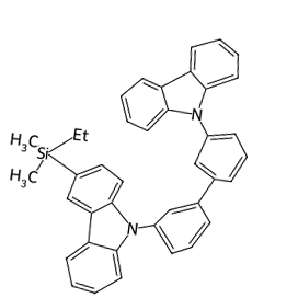 CC[Si](C)(C)c1ccc2c(c1)c1ccccc1n2-c1cccc(-c2cccc(-n3c4ccccc4c4ccccc43)c2)c1